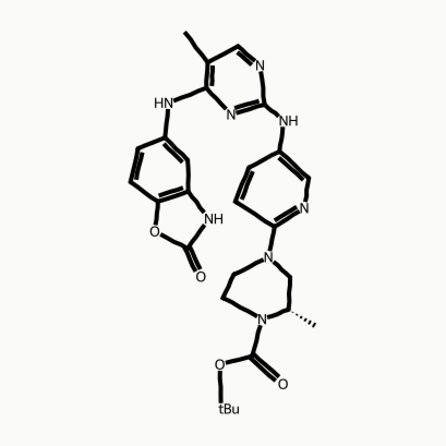 Cc1cnc(Nc2ccc(N3CCN(C(=O)OC(C)(C)C)[C@@H](C)C3)nc2)nc1Nc1ccc2oc(=O)[nH]c2c1